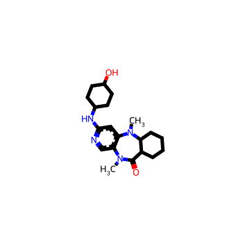 CN1C(=O)C2CCCCC2N(C)c2cc(NC3CCC(O)CC3)ncc21